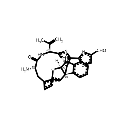 C=C(C)[C@@H]1NC(=O)[C@@H](N)Cc2ccc3c(c2)[C@@]2(c4ccccc4N[C@@H]2O3)c2oc1nc2-c1nc(C=O)co1